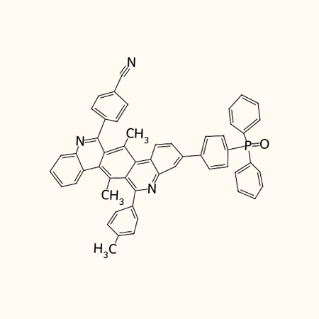 Cc1ccc(-c2nc3cc(-c4ccc(P(=O)(c5ccccc5)c5ccccc5)cc4)ccc3c3c(C)c4c(-c5ccc(C#N)cc5)nc5ccccc5c4c(C)c23)cc1